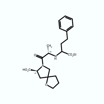 CCOC(=O)C(CCc1ccccc1)N[C@@H](C)C(=O)N1CC2(CCCO2)C[C@H]1C(=O)O